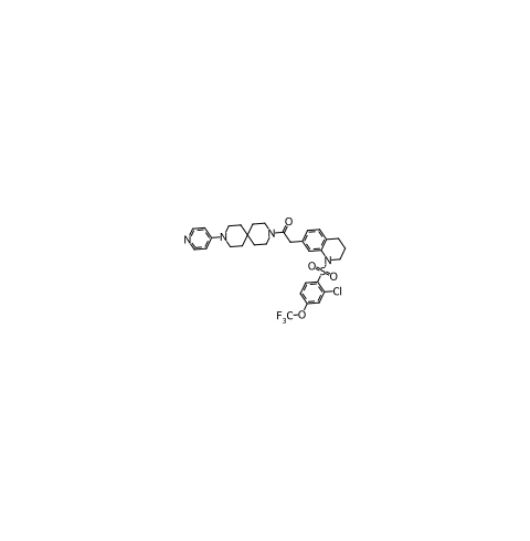 O=C(Cc1ccc2c(c1)N(S(=O)(=O)c1ccc(OC(F)(F)F)cc1Cl)CCC2)N1CCC2(CC1)CCN(c1ccncc1)CC2